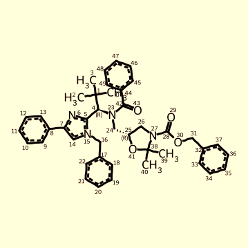 CC(C)(C)[C@H](c1nc(-c2ccccc2)cn1Cc1ccccc1)N(C[C@@H]1CN(C(=O)OCc2ccccc2)C(C)(C)O1)C(=O)c1ccccc1